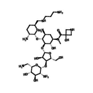 CN(C(=O)C1(O)CNC1)[C@@H]1C[C@H](N)[C@@H](O[C@H]2O[C@H](CNCCCN)CC[C@H]2N)[C@H](O[C@@H]2O[C@H](CO)[C@@H](O[C@H]3O[C@@H](CN)[C@@H](O)[C@H](O)[C@H]3N)[C@H]2O)[C@H]1O